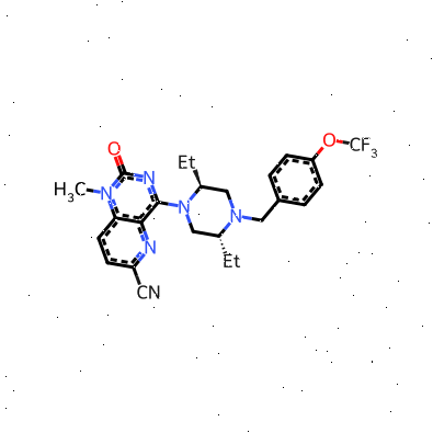 CC[C@@H]1CN(c2nc(=O)n(C)c3ccc(C#N)nc23)[C@@H](CC)CN1Cc1ccc(OC(F)(F)F)cc1